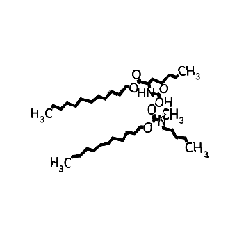 CCCCCCCCCCCCOC(=O)C(CCCCC)NC(=O)O.CCCCCCCCCCCCOC(=O)N(C)CCCCC